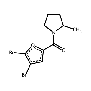 CC1CCCN1C(=O)c1cc(Br)c(Br)o1